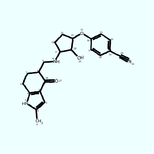 Cc1cc2c([nH]1)CCC(CNC1CCC(Oc3ccc(C#N)cc3)C1O)C2=O